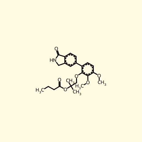 CCCC(=O)OC(C)(C)COc1c(-c2ccc3c(c2)CNC3=O)ccc(OC)c1OC